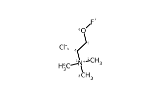 C[N+](C)(C)CCOF.[Cl-]